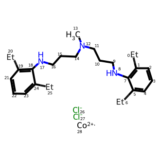 CCc1cccc(CC)c1NCCCN(C)CCCNc1c(CC)cccc1CC.[Cl-].[Cl-].[Co+2]